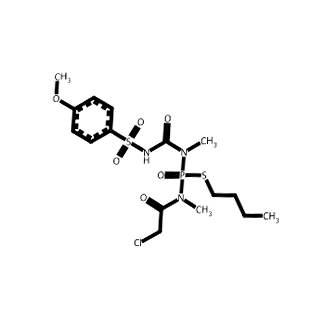 CCCCSP(=O)(N(C)C(=O)CCl)N(C)C(=O)NS(=O)(=O)c1ccc(OC)cc1